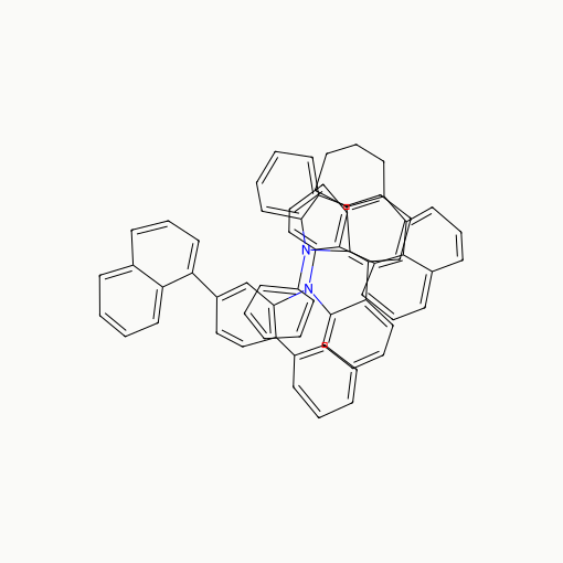 c1ccc(-c2ccc(-c3cccc4ccccc34)cc2N(c2ccccc2-c2cccc3cccc(C4CCCCC4)c23)c2ccccc2-c2cccc3c4ccccc4n(-c4ccccc4)c23)cc1